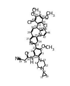 COc1cc(N2CCN(C3CC3)CC2)c(NC(=O)CC#N)cc1-c1cc2c(cn1)C=CC(c1c(Cl)c(OC)cc(OC)c1Cl)c1nccn1-2